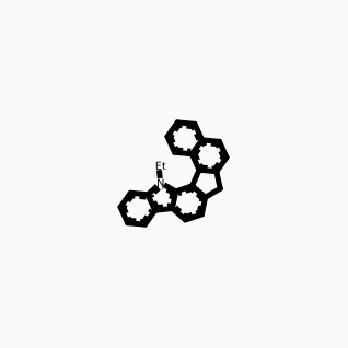 CCn1c2ccccc2c2ccc3c(c21)-c1c(ccc2ccccc12)C3